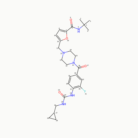 CC(C)(C)NC(=O)c1ccc(CN2CCN(C(=O)c3ccc(NC(=O)NCC4CC4)c(F)c3)CC2)o1